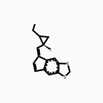 CCC1C[C@]1(I)/C=C1/C=Cc2cc3c(cc21)SCS3